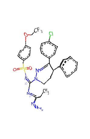 C/C(N)=N\C(=N\S(=O)(=O)c1ccc(OC(F)(F)F)cc1)N1CCC(c2ccccc2)C(c2ccc(Cl)cc2)=N1